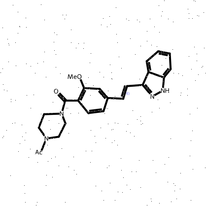 COc1cc(/C=C/c2n[nH]c3ccccc23)ccc1C(=O)N1CCN(C(C)=O)CC1